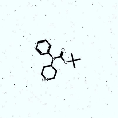 CC(C)(C)OC(=O)N(c1ccccc1)C1CCNCC1